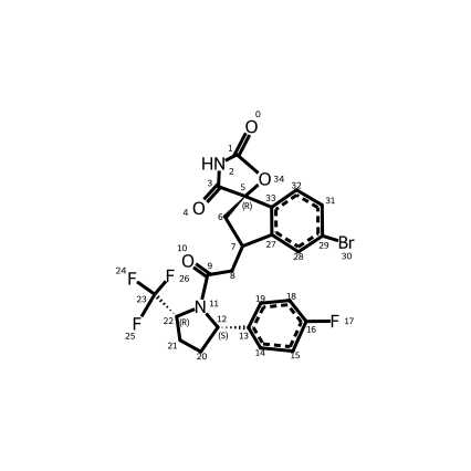 O=C1NC(=O)[C@]2(CC(CC(=O)N3[C@H](c4ccc(F)cc4)CC[C@@H]3C(F)(F)F)c3cc(Br)ccc32)O1